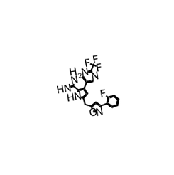 N=C(N)c1[nH]c(Cc2cc(-c3ccccc3F)no2)cc1-c1cnc(C(F)(F)F)nc1